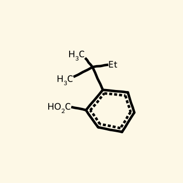 CCC(C)(C)c1ccccc1C(=O)O